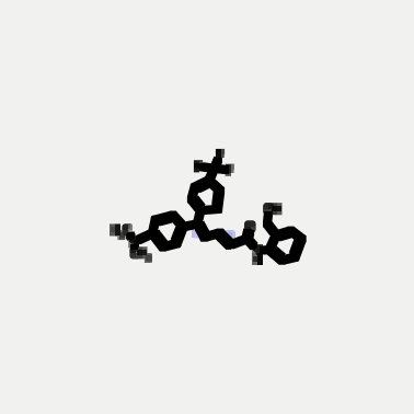 CN(C)c1ccc(/C(=C/C=C/C(=O)Nc2ccccc2CO)c2ccc(C(F)(F)F)cc2)cc1